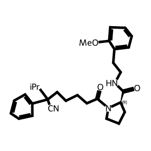 COc1ccccc1CCNC(=O)[C@H]1CCCN1C(=O)CCCCC(C#N)(c1ccccc1)C(C)C